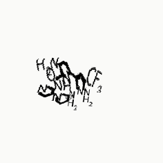 Nc1ccc(-c2cnc(N)c(C(F)(F)F)c2)nc1C(=O)Nc1cnccc1N1CCC[C@H](N)C1